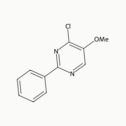 COc1cnc(-c2ccccc2)nc1Cl